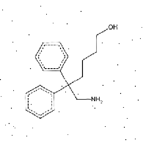 NCC(CCCCO)(c1ccccc1)c1ccccc1